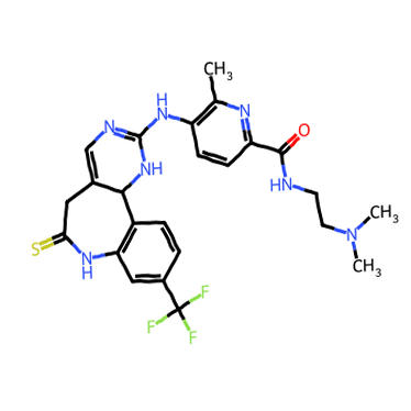 Cc1nc(C(=O)NCCN(C)C)ccc1NC1=NC=C2CC(=S)Nc3cc(C(F)(F)F)ccc3C2N1